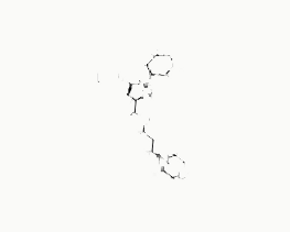 Cc1cc(COCCCN2CCOCC2)nn1C1CCCCC1